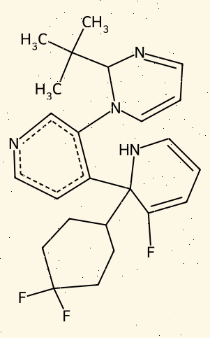 CC(C)(C)C1N=CC=CN1c1cnccc1C1(C2CCC(F)(F)CC2)NC=CC=C1F